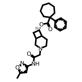 Cc1cc(NC(=O)CN2CCC3C(C[C@@H]3OC(=O)C3(c4ccccc4)CCCCCC3)C2)no1